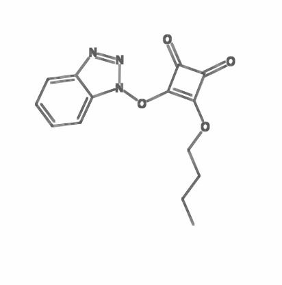 CCCCOc1c(On2nnc3ccccc32)c(=O)c1=O